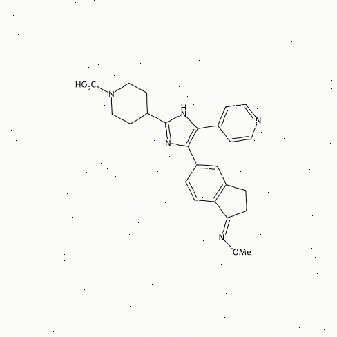 CON=C1CCc2cc(-c3nc(C4CCN(C(=O)O)CC4)[nH]c3-c3ccncc3)ccc21